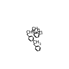 C=Cc1ccccc1.C=Cc1ccccc1.C=Cc1ccccc1.CCl